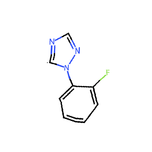 Fc1ccccc1-n1[c]ncn1